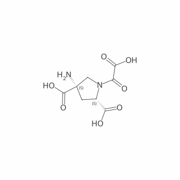 N[C@@]1(C(=O)O)C[C@@H](C(=O)O)N(C(=O)C(=O)O)C1